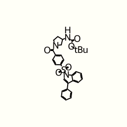 CC(C)(C)OC(=O)NC1CCN(C(=O)c2ccc(S(=O)(=O)n3cc(-c4ccccc4)c4ccccc43)cc2)C1